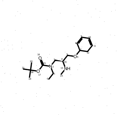 CCN(C[C@@H](COC1C=CC=CC1)NC)C(=O)OC(C)(C)C